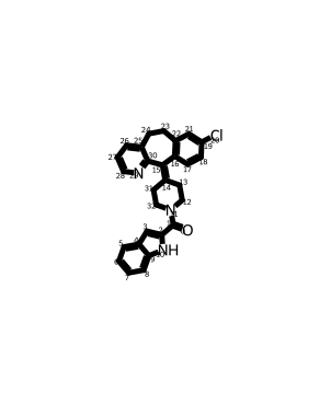 O=C(c1cc2ccccc2[nH]1)N1CCC(=C2c3ccc(Cl)cc3CCc3cccnc32)CC1